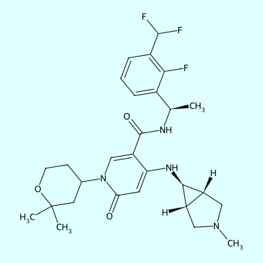 C[C@@H](NC(=O)c1cn(C2CCOC(C)(C)C2)c(=O)cc1N[C@H]1[C@@H]2CN(C)C[C@@H]21)c1cccc(C(F)F)c1F